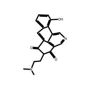 CN(C)CCC1C(=O)c2cncc3c2c(cc2cccc(O)c23)C1=O